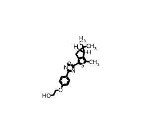 Cc1sc(-c2nc(-c3ccc(OCCO)cc3)no2)c2c1[C@H]1[C@@H](C2)C1(C)C